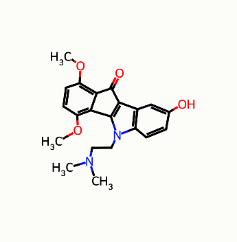 COc1ccc(OC)c2c1C(=O)c1c-2n(CCN(C)C)c2ccc(O)cc12